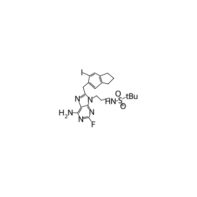 CC(C)(C)S(=O)(=O)NCCCn1c(Cc2cc3c(cc2I)CCC3)nc2c(N)nc(F)nc21